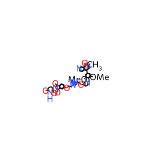 COc1cc(-c2cn(C)c(=O)c3cnccc23)cc(OC)c1CN1CCC(OCc2cn(CCOc3ccc4c(c3)C(=O)N(C3CCC(=O)NC3=O)C4=O)nn2)C1